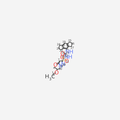 CCOC1COc2cc(S(=O)(=O)NC(=O)Nc3c4c(cc5c3CCC5)CCC4)nn2C1